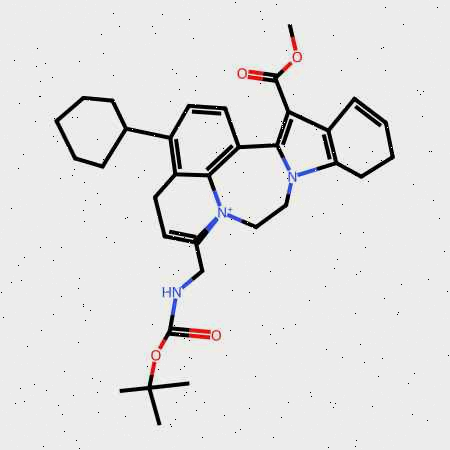 COC(=O)c1c2c(n3c1-c1ccc(C4CCCCC4)c4c1[N+](CCNC(=O)OC(C)(C)C)(C=CC4)CC3)CCC=C2